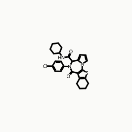 O=C(NC1CCCCC1)C1c2cccn2-c2sc3c(c2C(=O)N1c1ccc(Cl)cc1)CCCC3